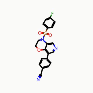 N#Cc1ccc(-c2cncc3c2OCCN3S(=O)(=O)c2ccc(F)cc2)cc1